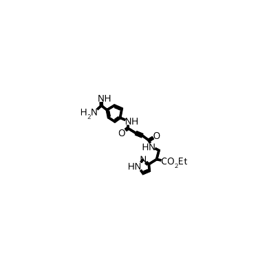 CCOC(=O)C(CNC(=O)C#CC(=O)Nc1ccc(C(=N)N)cc1)c1cc[nH]n1